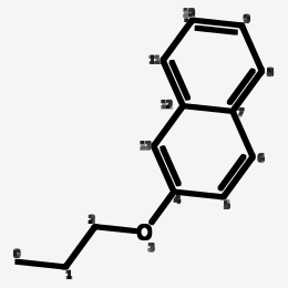 CCCOc1ccc2cc[c]cc2c1